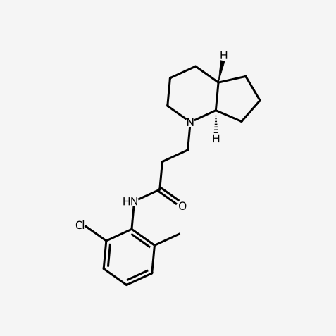 Cc1cccc(Cl)c1NC(=O)CCN1CCC[C@@H]2CCC[C@H]21